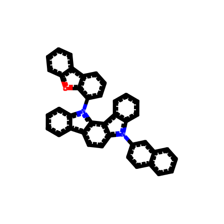 c1ccc2cc(-n3c4ccccc4c4c3ccc3c5ccccc5n(-c5cccc6c5oc5ccccc56)c34)ccc2c1